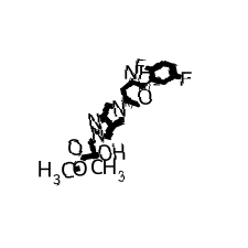 COC(=O)C(C)(O)Cn1cc2c(n1)CN([C@H]1CO[C@H](C3CC(F)=CC=C3F)[C@@H](N)C1)C2